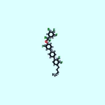 C=CCCc1ccc(-c2ccc(-c3ccc(OC(F)(F)c4cc(F)c(F)c(F)c4)c(F)c3)cc2)c(F)c1F